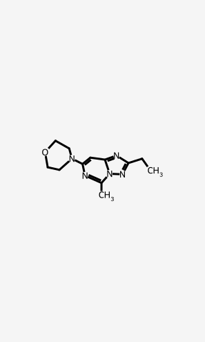 CCc1nc2cc(N3CCOCC3)nc(C)n2n1